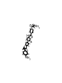 CC(C)(N)C(=O)N1CCN(C(=O)Nc2ccn(-c3ccc(CC4(C5CCC(N)CC5)CC4)cc3)c(=O)n2)CC1